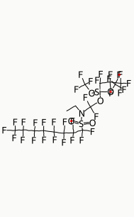 CCN(C(F)(F)O[Si](OC(F)(F)F)(OC(F)(F)F)C(F)(F)C(F)(F)C(F)(F)F)S(=O)(=O)C(F)(F)C(F)(F)C(F)(F)C(F)(F)C(F)(F)C(F)(F)C(F)(F)C(F)(F)F